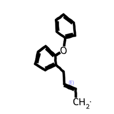 [CH2]/C=C/Cc1ccccc1Oc1ccccc1